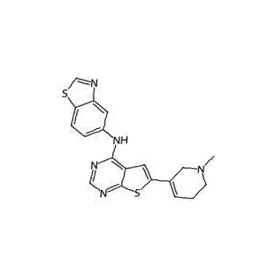 CN1CCC=C(c2cc3c(Nc4ccc5scnc5c4)ncnc3s2)C1